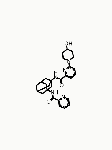 O=C(NC12CC3CC(C1)CC(NC(=O)c1cccc(N4CCC(O)CC4)n1)(C3)C2)c1ccccn1